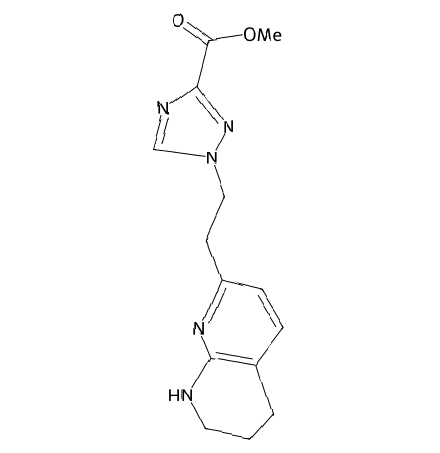 COC(=O)c1ncn(CCc2ccc3c(n2)NCCC3)n1